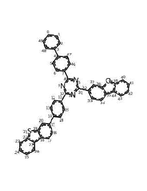 c1ccc(-c2ccc(-c3nc(-c4ccc(-c5ccc6c(c5)sc5ccccc56)cc4)nc(-c4ccc5c(c4)oc4ccccc45)n3)cc2)cc1